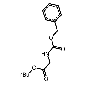 CCCCOC(=O)CNC(=O)OCc1ccccc1